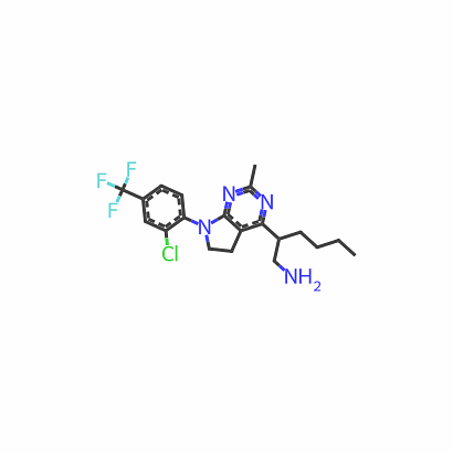 CCCCC(CN)c1nc(C)nc2c1CCN2c1ccc(C(F)(F)F)cc1Cl